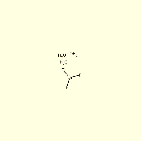 O.O.O.[F][La]([F])[F]